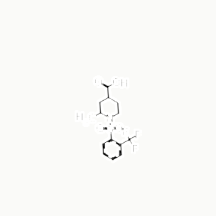 CC1CC(C(=O)O)CCN1S(=O)(=O)c1ccccc1C(F)(F)F